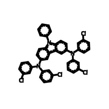 Clc1cccc(N(c2cccc(Cl)c2)c2ccc3c(c2)c2cc(N(c4cccc(Cl)c4)c4cccc(Cl)c4)ccc2n3-c2ccccc2)c1